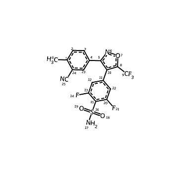 Cc1ccc(-c2noc(C(F)(F)F)c2-c2cc(F)c(S(N)(=O)=O)c(F)c2)cc1C#N